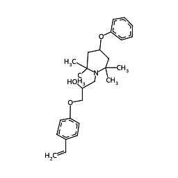 C=Cc1ccc(OCC(O)CN2C(C)(C)CC(Oc3ccccc3)CC2(C)C)cc1